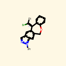 CC/C(Br)=C1/c2cc3cnn(C(C)C)c3cc2COc2ccccc21